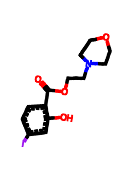 O=C(OCCN1CCOCC1)c1ccc(I)cc1O